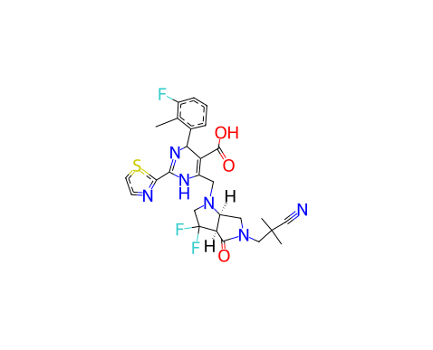 Cc1c(F)cccc1C1N=C(c2nccs2)NC(CN2CC(F)(F)[C@@H]3C(=O)N(CC(C)(C)C#N)C[C@@H]32)=C1C(=O)O